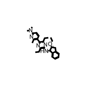 CCO[C@H]1Cc2ccccc2[C@H]1Nc1nc(CC)c(-c2ccc(N(C)C)nc2C)nc1CC